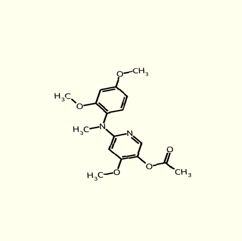 COc1ccc(N(C)c2cc(OC)c(OC(C)=O)cn2)c(OC)c1